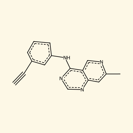 C#Cc1cccc(Nc2ncnc3cc(C)ncc23)c1